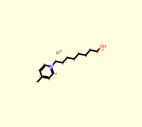 Cc1cc[n+](CCCCCCCCO)cc1.[Br-]